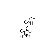 CCN(CC)C(=O)C(=O)CC[PH](=O)CO